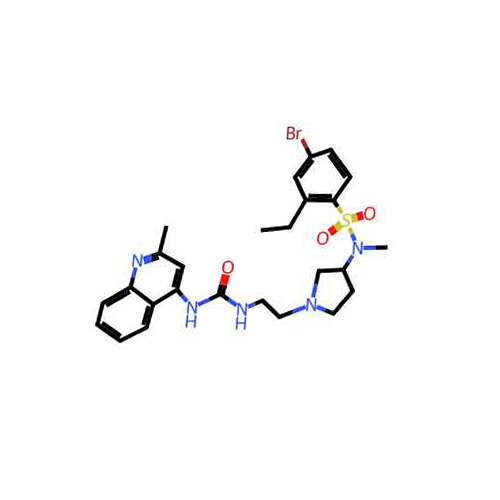 CCc1cc(Br)ccc1S(=O)(=O)N(C)C1CCN(CCNC(=O)Nc2cc(C)nc3ccccc23)C1